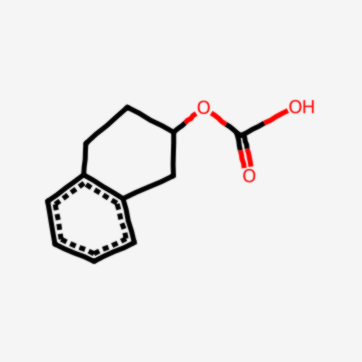 O=C(O)OC1CCc2ccccc2C1